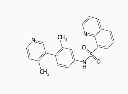 Cc1cc(NS(=O)(=O)c2cccc3cccnc23)ccc1-c1cnccc1C